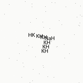 [KH].[KH].[KH].[KH].[KH].[KH].[NaH]